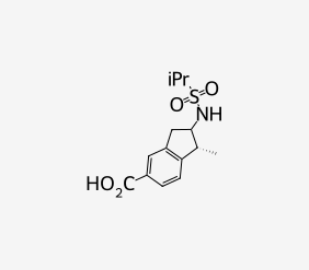 CC(C)S(=O)(=O)NC1Cc2cc(C(=O)O)ccc2[C@H]1C